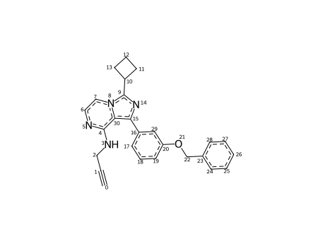 C#CCNc1nccn2c(C3CCC3)nc(-c3cccc(OCc4ccccc4)c3)c12